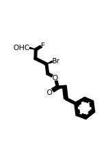 O=C[C@@H](F)C[C@@H](Br)COC(=O)/C=C/c1ccccc1